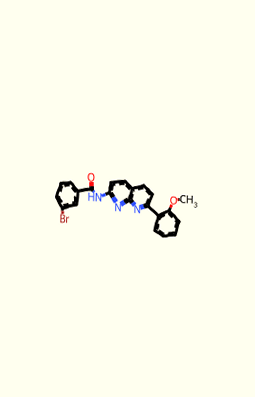 COc1ccccc1-c1ccc2ccc(NC(=O)c3cccc(Br)c3)nc2n1